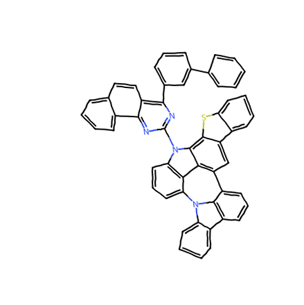 c1ccc(-c2cccc(-c3nc(-n4c5cccc6c5c5c(cc7c8ccccc8sc7c54)c4cccc5c7ccccc7n6c45)nc4c3ccc3ccccc34)c2)cc1